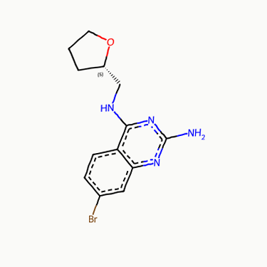 Nc1nc(NC[C@@H]2CCCO2)c2ccc(Br)cc2n1